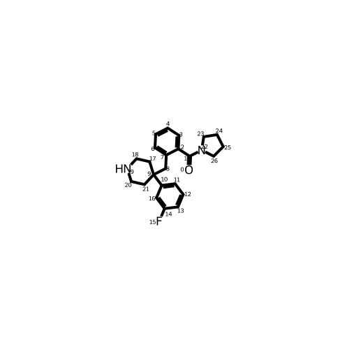 O=C(c1ccccc1CC1(c2cccc(F)c2)CCNCC1)N1CCCC1